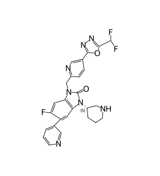 O=c1n(Cc2ccc(-c3nnc(C(F)F)o3)cn2)c2cc(F)c(-c3cccnc3)cc2n1[C@H]1CCCNC1